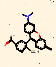 C=c1ccc2c(c1)Oc1cc(N(C)C)ccc1C=2c1cc(C(=O)C(C)(C)C)ccc1C(=O)O